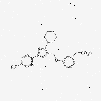 O=C(O)Cc1cccc(OCc2cn(-c3ccc(C(F)(F)F)cn3)nc2C2CCCCC2)c1